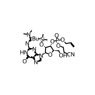 C=CCOP(=O)(OCCC#N)O[C@H]1[C@@H](O[Si](C)(C)C(C)(C)C)[C@H](n2cnc3c(=O)[nH]c(N=CN(C)C)nc32)O[C@@H]1CO